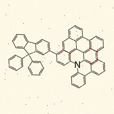 c1ccc(-c2ccccc2N(c2ccc(-c3ccc4c(c3)C(c3ccccc3)(c3ccccc3)c3ccccc3-4)cc2)c2ccccc2-c2cccc3cccc(-c4ccccc4)c23)cc1